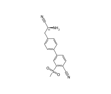 CS(=O)(=O)c1cc(-c2ccc(C[C@H](N)C#N)cc2)ccc1C#N